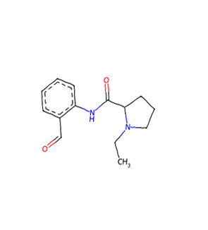 CCN1CCCC1C(=O)Nc1ccccc1C=O